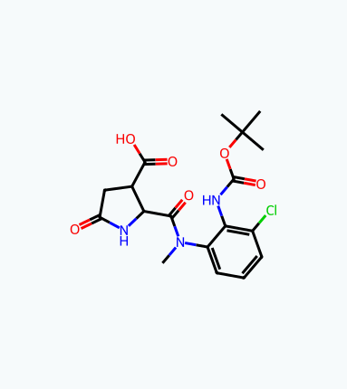 CN(C(=O)C1NC(=O)CC1C(=O)O)c1cccc(Cl)c1NC(=O)OC(C)(C)C